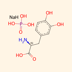 N[C@@H](Cc1ccc(O)c(O)c1)C(=O)O.O=P(O)(O)O.[NaH]